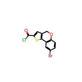 O=C(Cl)c1cc2c(s1)-c1cc(Br)ccc1OC2